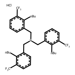 CCCCc1c(CN(Cc2cccc(C(F)(F)F)c2CCCC)Cc2cccc(C(F)(F)F)c2CCCC)cccc1C(F)(F)F.Cl